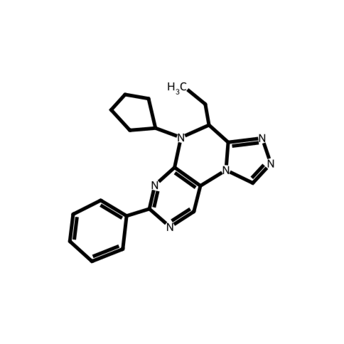 CCC1c2nncn2-c2cnc(-c3ccccc3)nc2N1C1CCCC1